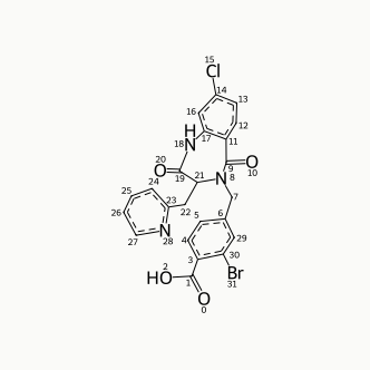 O=C(O)c1ccc(CN2C(=O)c3ccc(Cl)cc3NC(=O)C2Cc2ccccn2)cc1Br